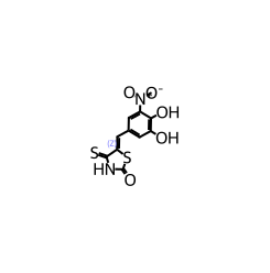 O=C1NC(=S)/C(=C/c2cc(O)c(O)c([N+](=O)[O-])c2)S1